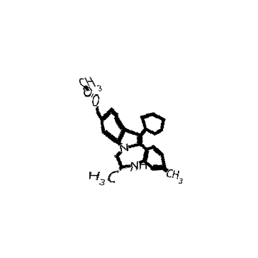 COOCc1ccc2c(C3CCCCC3)c3n(c2c1)CC(C)Nc1cc(C)ccc1-3